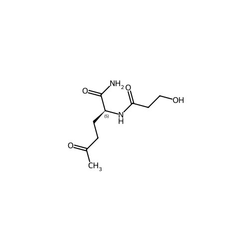 CC(=O)CC[C@H](NC(=O)CCO)C(N)=O